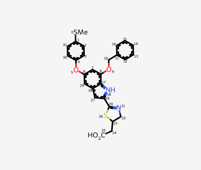 CSc1ccc(Oc2cc(OCc3ccccc3)c3[nH]c(C4=NCC(CC(=O)O)S4)cc3c2)cc1